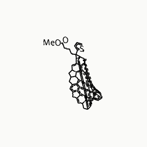 COC(=O)CCCC1(c2cccs2)C2C3=CC4CC5Cc6cc7c8c9c%10c%11c%12c%13c%14c(c%15c3c3c(c%16c(c6c8c%11%16)C5C=34)c%15%12)C21C=C%14CC(C=C9C7)C%13%10